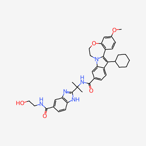 COc1ccc2c(c1)OCCn1c-2c(C2CCCCC2)c2ccc(C(=O)NC(C)(C)c3nc4cc(C(=O)NCCO)ccc4[nH]3)cc21